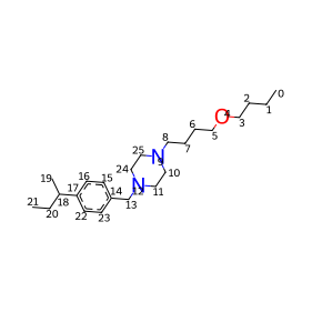 CCCCOCCCCN1CCN(Cc2ccc(C(C)CC)cc2)CC1